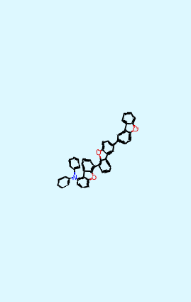 C1=CC(N(c2ccccc2)c2cccc3oc4c(-c5cccc6c5oc5ccc(-c7ccc8oc9ccccc9c8c7)cc56)cccc4c23)=CCC1